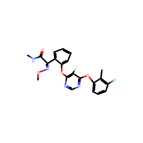 CNC(=O)/C(=N\OC)c1ccccc1Oc1ncnc(Oc2cccc(Cl)c2C)c1F